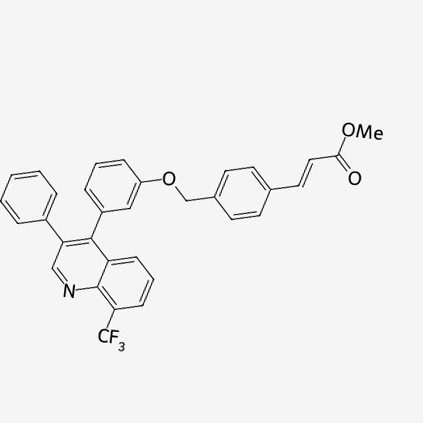 COC(=O)/C=C/c1ccc(COc2cccc(-c3c(-c4ccccc4)cnc4c(C(F)(F)F)cccc34)c2)cc1